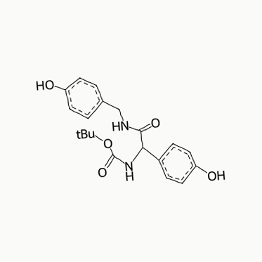 CC(C)(C)OC(=O)NC(C(=O)NCc1ccc(O)cc1)c1ccc(O)cc1